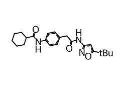 CC(C)(C)c1cc(NC(=O)Cc2ccc(NC(=O)C3CCCCC3)cc2)no1